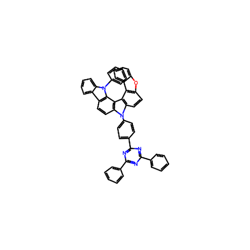 c1ccc(-c2nc(-c3ccccc3)nc(-c3ccc(-n4c5ccc6oc7ccccc7c6c5c5c4ccc4c6ccccc6n(-c6ccccc6)c45)cc3)n2)cc1